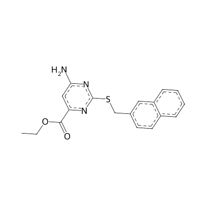 CCOC(=O)c1cc(N)nc(SCc2ccc3ccccc3c2)n1